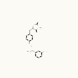 COc1cccc([C@@H](COc2ccc(CC3SC(=O)N(N)C3=O)cc2)N=O)c1